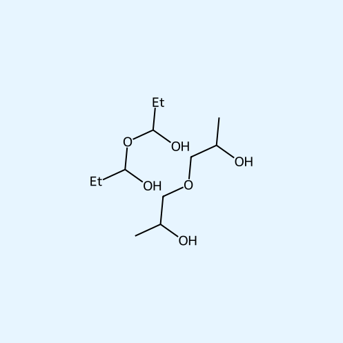 CC(O)COCC(C)O.CCC(O)OC(O)CC